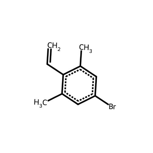 C=Cc1c(C)cc(Br)cc1C